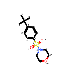 CC(C)(C)c1ccc(S(=O)(=O)N2CCOCC2)cc1